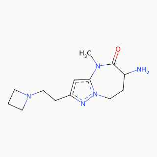 CN1C(=O)C(N)CCn2nc(CCN3CCC3)cc21